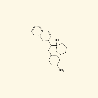 NC1CCN(CC(c2ccc3ccccc3c2)C2(O)CCCCC2)CC1